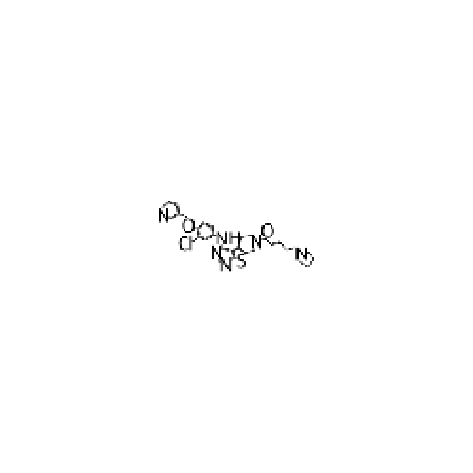 O=C(/C=C/CCN1CCCC1)N1CCc2c(sc3ncnc(Nc4ccc(OCc5cccnc5)c(Cl)c4)c23)C1